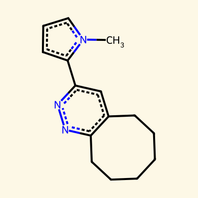 Cn1cccc1-c1cc2c(nn1)CCCCCC2